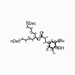 CCCCCCCCCCCCSCC(CSCCCCCCCCCCCC)OC(=O)CCc1cc(C(C)(C)C)c(O)c(C)c1C